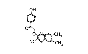 Cc1cc2cc(C#N)c(OCC(=O)c3ccc(O)cc3)nc2cc1C